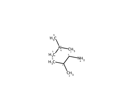 CC(C)CN.[CH3][Al]([CH3])[CH3]